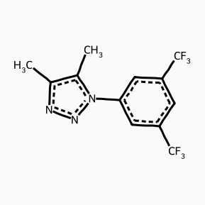 Cc1nnn(-c2cc(C(F)(F)F)cc(C(F)(F)F)c2)c1C